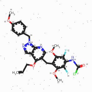 C=CCOc1c(Cc2c(OC)c(F)c(NC(=O)Cl)c(F)c2OC)cnc2c1cnn2Cc1ccc(OC)cc1